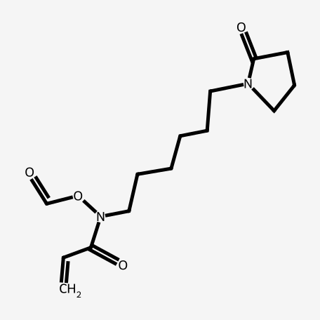 C=CC(=O)N(CCCCCCN1CCCC1=O)OC=O